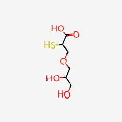 O=C(O)C(S)COCC(O)CO